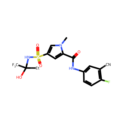 CCC(O)(NS(=O)(=O)c1cc(C(=O)Nc2ccc(F)c(C#N)c2)n(C)c1)C(F)(F)F